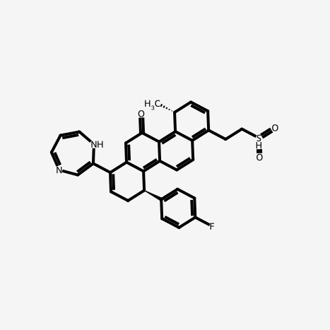 C[C@@H]1C=CC(CC[SH](=O)=O)=c2ccc3c(c21)C(=O)C=C1C(C2=CN=CC=CN2)=CC[C@H](c2ccc(F)cc2)C=31